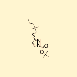 CCCC(C)(C)CSc1ccn(C(=O)OC(C)(C)C)n1